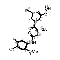 COc1cc(Cl)c(C)cc1NC(=O)N[C@H](C(=O)N(CCC(C)C)CC(=O)NO)C(C)(C)C